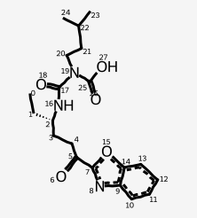 CC[C@@H](CCC(=O)c1nc2ccccc2o1)NC(=O)N(CCC(C)C)C(=O)O